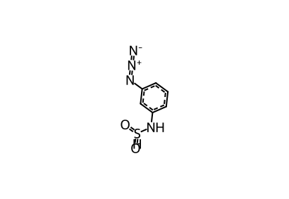 [N-]=[N+]=Nc1cccc(N[SH](=O)=O)c1